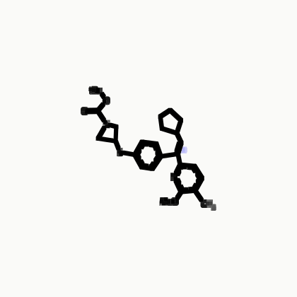 COc1nc(/C(=C/C2CCCC2)c2ccc(SC3CN(C(=O)OC(C)(C)C)C3)cc2)ccc1C